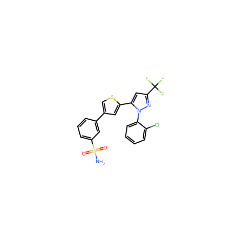 NS(=O)(=O)c1cccc(-c2csc(-c3cc(C(F)(F)F)nn3-c3ccccc3Cl)c2)c1